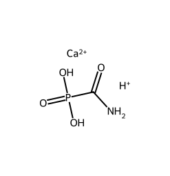 NC(=O)P(=O)(O)O.[Ca+2].[H+]